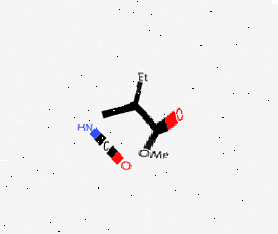 C=C(CC)C(=O)OC.N=C=O